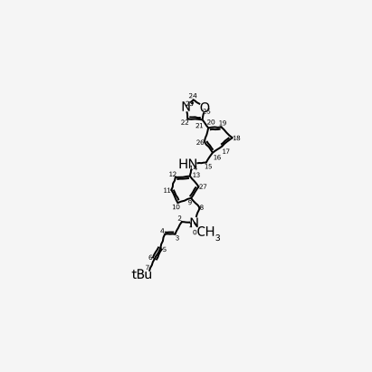 CN(CC=CC#CC(C)(C)C)Cc1cccc(NCc2cccc(-c3cnco3)c2)c1